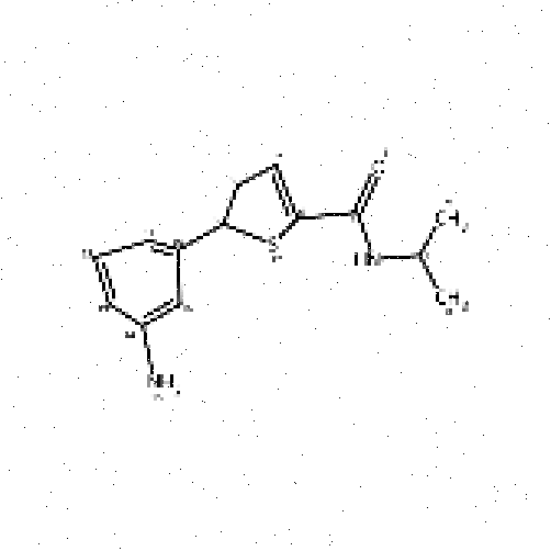 CC(C)NC(=O)C1=CCC(c2cccc(N)c2)S1